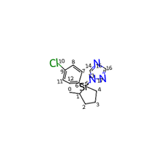 CC1CCC[Si]1(c1ccc(Cl)cc1)n1cncn1